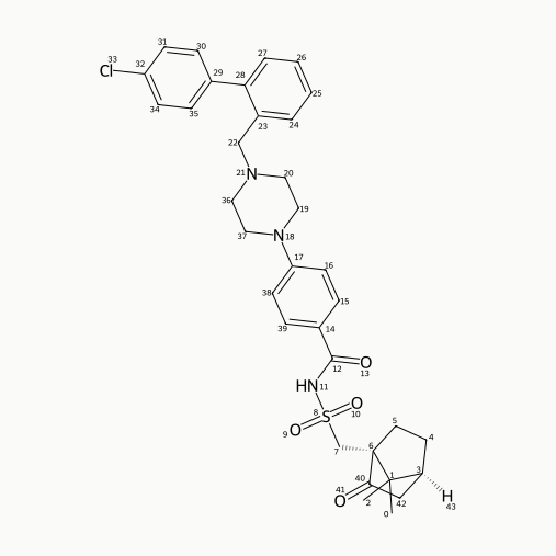 CC1(C)[C@H]2CC[C@]1(CS(=O)(=O)NC(=O)c1ccc(N3CCN(Cc4ccccc4-c4ccc(Cl)cc4)CC3)cc1)C(=O)C2